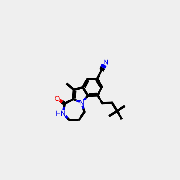 Cc1c2n(c3c(CCC(C)(C)C)cc(C#N)cc13)CCCNC2=O